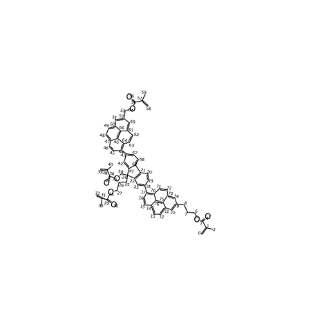 C=C(C)C(=O)OCCCc1cc2ccc3ccc(-c4ccc5c(c4)C(CCCOC(=O)C(=C)C)(COC(=O)C(=C)C)c4cc(-c6ccc7ccc8cc(COC(=O)C(=C)C)cc9ccc6c7c89)ccc4-5)c4ccc(c1)c2c34